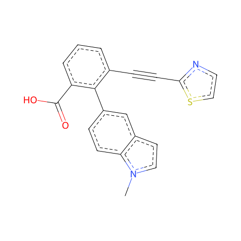 Cn1ccc2cc(-c3c(C#Cc4nccs4)cccc3C(=O)O)ccc21